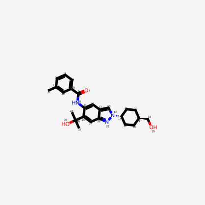 Cc1cccc(C(=O)Nc2cc3cn([C@H]4CC[C@H](CO)CC4)nc3cc2C(C)(C)O)c1